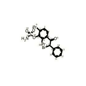 CC(C)c1ccc(C(=O)C(Br)c2ccccc2)c(C(C)C)c1OS(N)(=O)=O